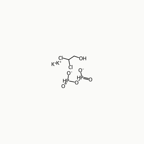 O=[PH]([O-])O[PH](=O)[O-].OCC(Cl)Cl.[K+].[K+]